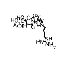 CC(=O)N[C@@H](CC(=O)O)C(=O)N([C@H](C(=O)O)C(C)C)N1CN(CCCCNC(=N)N)N=N1